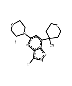 C[C@@H]1COCCN1c1cc(C2(C#N)CCOCC2)c2snc(Cl)c2n1